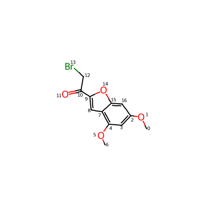 COc1cc(OC)c2cc(C(=O)CBr)oc2c1